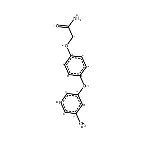 NC(=O)COc1ccc(Oc2cncc(C(F)(F)F)c2)cc1